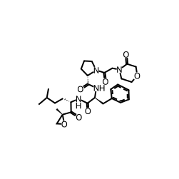 CC(C)CC[C@H](NC(=O)[C@H](Cc1ccccc1)NC(=O)[C@@H]1CCCN1C(=O)CN1CCOCC1=O)C(=O)[C@@]1(C)CO1